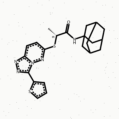 C[C@@H](Sc1ccc2nnc(-c3cccs3)n2n1)C(=O)NC12CC3CC(CC(C3)C1)C2